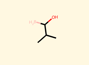 BC(O)C(C)C